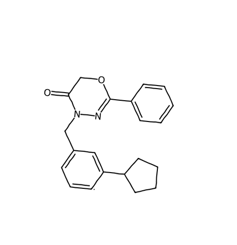 O=C1COC(c2ccccc2)=NN1Cc1cc[c]c(C2CCCC2)c1